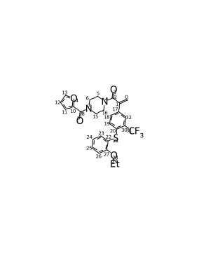 C=C(C(=O)N1CCN(C(=O)c2ccco2)CC1)c1ccc(Sc2ccccc2OCC)c(C(F)(F)F)c1